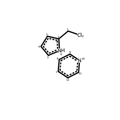 ClCc1ccc[nH]1.c1ccncc1